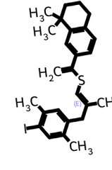 C=C(S/C=C(\C)Cc1cc(C)c(I)cc1C)c1ccc2c(c1)C(C)(C)CCC2